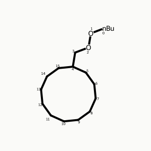 CCCCOOCC1CCCCCCCCCCC1